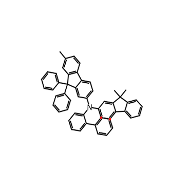 Cc1ccc2c(c1)C(c1ccccc1)(c1ccccc1)c1cc(N(c3ccc4c(c3)C(C)(C)c3ccccc3-4)c3ccccc3-c3ccccc3)ccc1-2